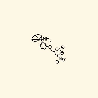 NC1(c2cccc(OCC(CO[N+](=O)[O-])O[N+](=O)[O-])c2)C2CC3CC(C2)CC1C3